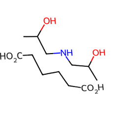 CC(O)CNCC(C)O.O=C(O)CCCCC(=O)O